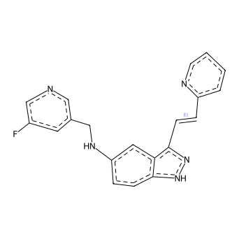 Fc1cncc(CNc2ccc3[nH]nc(/C=C/c4ccccn4)c3c2)c1